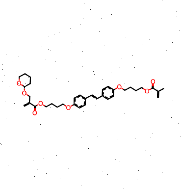 C=C(C)C(=O)OCCCCOc1ccc(/C=C/c2ccc(OCCCCOC(=O)C(=C)COC3CCCCO3)cc2)cc1